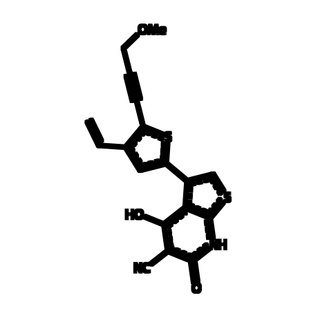 C=Cc1cc(-c2csc3[nH]c(=O)c(C#N)c(O)c23)sc1C#CCOC